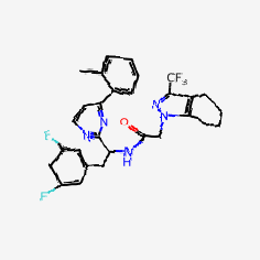 Cc1ccccc1-c1ccnc(C(CC2=CC(F)CC(F)=C2)NC(=O)Cn2nc(C(F)(F)F)c3c2CCCC3)n1